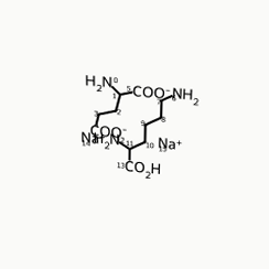 NC(CCC(=O)[O-])C(=O)[O-].NCCCCC(N)C(=O)O.[Na+].[Na+]